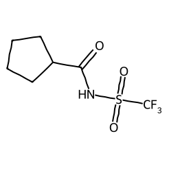 O=C(NS(=O)(=O)C(F)(F)F)C1CCCC1